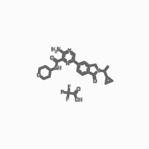 CC(C1CC1)N1Cc2cc(-c3cnc(N)c(C(=O)NC4CCOCC4)n3)ccc2C1=O.O=C(O)C(F)(F)F